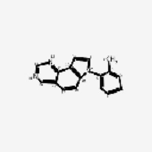 Cc1ccccc1-n1ccc2c3ncncc3ccc21